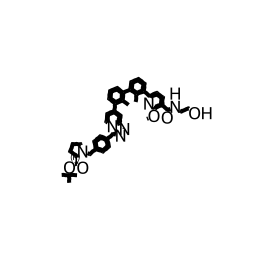 COc1nc(-c2cccc(-c3cccc(-c4ccn5c(-c6ccc(CN7CCC[C@@H]7C(=O)OC(C)(C)C)cc6)nnc5c4)c3C)c2C)ccc1C(=O)NCCO